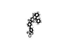 Cn1c(=O)oc2ccc(-c3ccc4sc(CC(C#N)N=C(c5ccccc5)c5ccccc5)c(F)c4c3)cc21